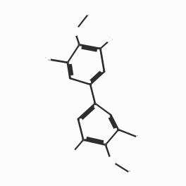 Nc1cc(-c2cc(O)c(OI)c(P)c2)cc(N)c1OI